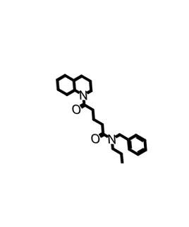 CCCN(Cc1ccccc1)C(=O)CCCC(=O)N1CCCC2CCCCC21